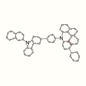 c1ccc(-c2ccc(N(c3ccc(-c4ccc5c(c4)c4ccccc4n5-c4ccc5ccccc5c4)cc3)c3cccc4ccc5ccccc5c34)cc2)cc1